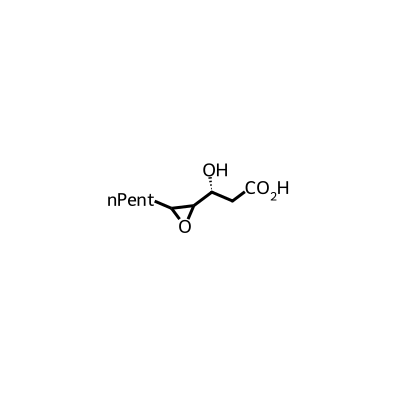 CCCCCC1OC1[C@H](O)CC(=O)O